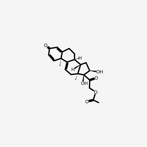 CC(=O)OCC(=O)[C@@]1(O)[C@H](O)C[C@H]2[C@@H]3CCC4=CC(=O)C=C[C@]4(C)C3=CC[C@@]21C